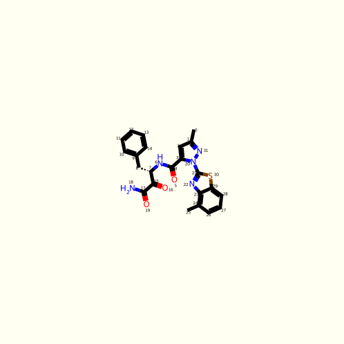 Cc1cc(C(=O)N[C@@H](Cc2ccccc2)C(=O)C(N)=O)n(-c2nc3c(C)cccc3s2)n1